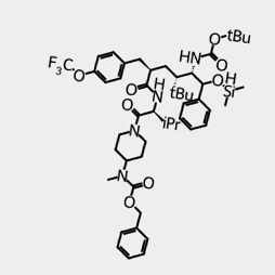 CC(C)[C@H](NC(=O)[C@@H](Cc1ccc(OC(F)(F)F)cc1)C[C@H]([C@H](NC(=O)OC(C)(C)C)C(O[SiH](C)C)c1ccccc1)C(C)(C)C)C(=O)N1CCC(N(C)C(=O)OCc2ccccc2)CC1